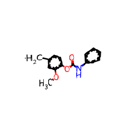 [CH2]c1ccc(OC(=O)Nc2ccccc2)c(OC)c1